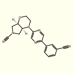 N#Cc1cccc(-c2cnc(N3CCO[C@@H]4CN(C#N)C[C@@H]43)cn2)c1